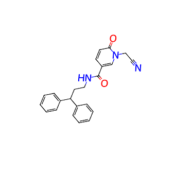 N#CCn1cc(C(=O)NCCC(c2ccccc2)c2ccccc2)ccc1=O